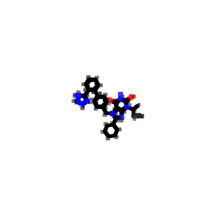 COC(C)n1c(=O)[nH]c(=O)c2c1nc(C1CCCCC1)n2Cc1ccc(-c2ccccc2-c2nnn[nH]2)cc1